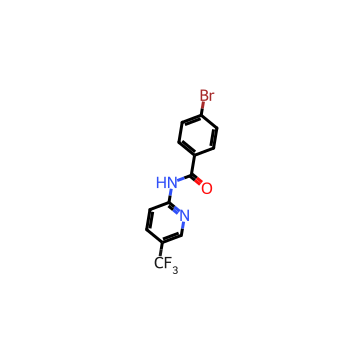 O=C(Nc1ccc(C(F)(F)F)cn1)c1ccc(Br)cc1